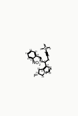 C[Si](C)(C)C#CCC(N=Cc1ccccc1[N+](=O)[O-])c1ncn2c1C[C@@H](F)C2